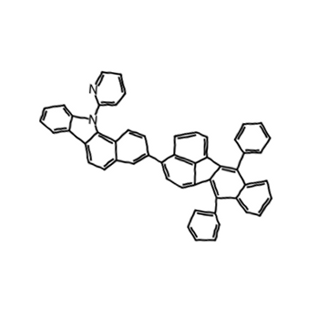 c1ccc(-c2c3c(c(-c4ccccc4)c4ccccc24)-c2ccc(-c4ccc5c(ccc6c7ccccc7n(-c7ccccn7)c56)c4)c4cccc-3c24)cc1